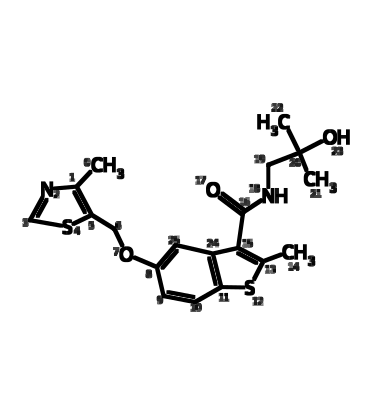 Cc1ncsc1COc1ccc2sc(C)c(C(=O)NCC(C)(C)O)c2c1